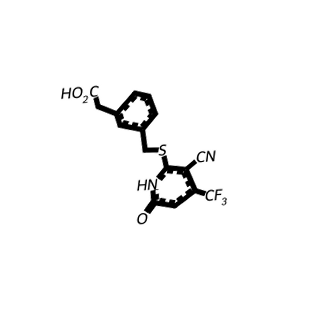 N#Cc1c(C(F)(F)F)cc(=O)[nH]c1SCc1cccc(CC(=O)O)c1